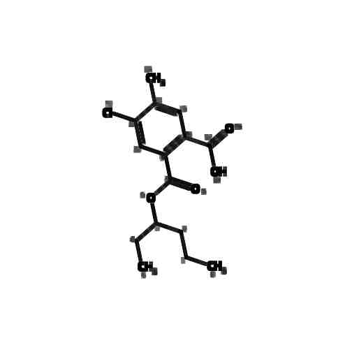 CCCC(CC)OC(=O)c1cc(Cl)c(C)cc1C(=O)O